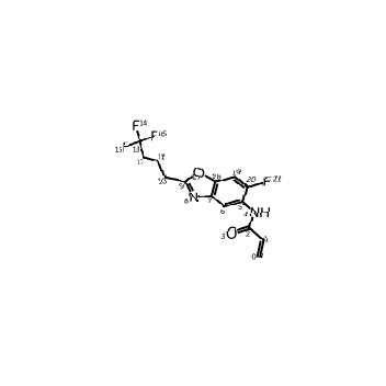 C=CC(=O)Nc1cc2nc(CCCC(F)(F)F)oc2cc1F